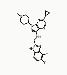 Cc1c(F)ccc2[nH]c(CNc3nn(C4CCN(C)CC4)c4nc(C5CC5)cnc34)nc12